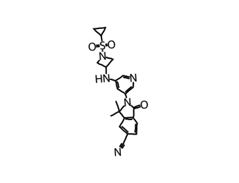 CC1(C)c2cc(C#N)ccc2C(=O)N1c1cncc(NC2CN(S(=O)(=O)C3CC3)C2)c1